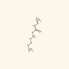 C=COC(=O)COCCCC